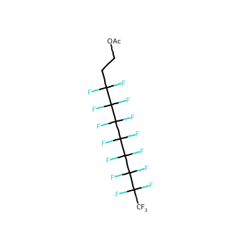 CC(=O)OCCC(F)(F)C(F)(F)C(F)(F)C(F)(F)C(F)(F)C(F)(F)C(F)(F)C(F)(F)F